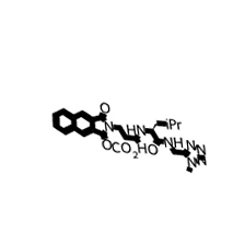 CC(C)C[C@@H](NC(CCN1C(=O)c2cc3ccccc3cc2C1=O)C(=O)O)C(=O)NCc1nnnn1C